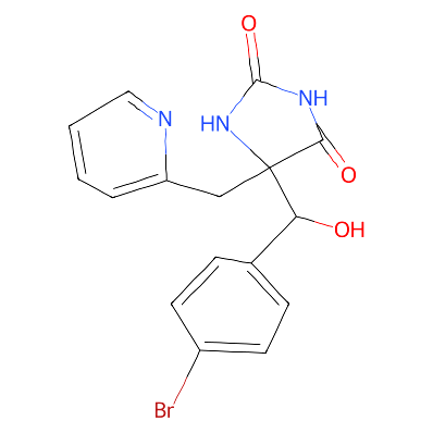 O=C1NC(=O)C(Cc2ccccn2)(C(O)c2ccc(Br)cc2)N1